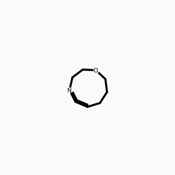 C1=CCCCOCCN=1